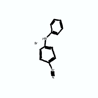 N#[N+]c1ccc(Nc2ccccc2)cc1.[Br-]